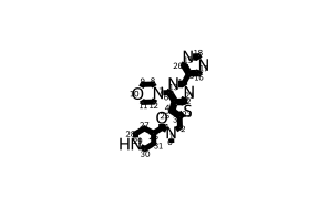 CN(Cc1cc2c(N3CCOCC3)nc(-c3cncnc3)nc2s1)C(=O)C1CCNCC1